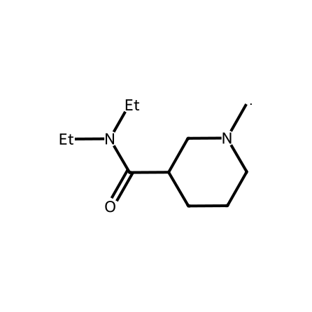 [CH2]N1CCCC(C(=O)N(CC)CC)C1